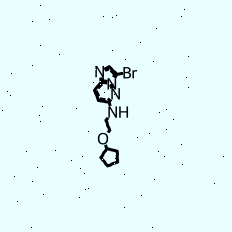 Brc1cnc2ccc(NCCOC3CCCC3)nn12